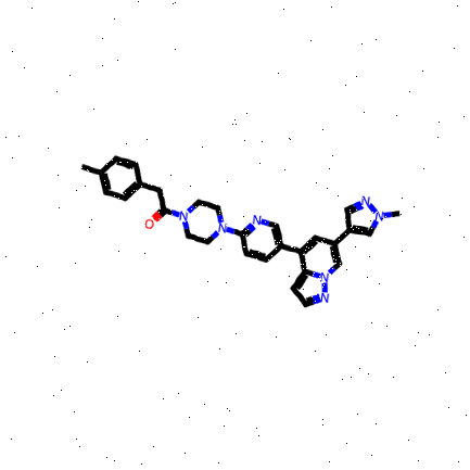 Cc1ccc(CC(=O)N2CCN(c3ccc(-c4cc(-c5cnn(C)c5)cn5nccc45)cn3)CC2)cc1